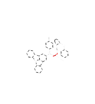 Cc1ccc2c(c1)C1(c3ccccc3Oc3ccccc31)c1cc(C)ccc1N2c1cc2c3ccccc3n3c4ccccc4c(c1)c23